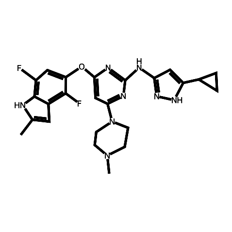 Cc1cc2c(F)c(Oc3cc(N4CCN(C)CC4)nc(Nc4cc(C5CC5)[nH]n4)n3)cc(F)c2[nH]1